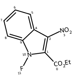 CCOC(=O)c1c([N+](=O)[O-])c2ccccc2n1F